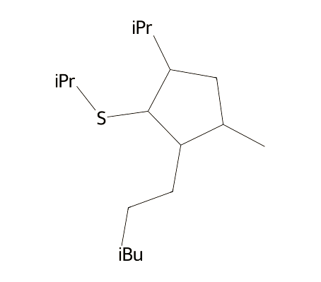 CCC(C)CCC1C(C)CC(C(C)C)C1SC(C)C